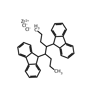 CCCC(C1c2ccccc2-c2ccccc21)C(CCC)C1c2ccccc2-c2ccccc21.[Cl-].[Cl-].[Zr+2]